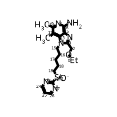 CCOCc1nc2c(N)nc(C)c(C)c2n1CCCCC[S+]([O-])c1ncccn1